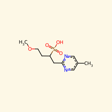 COCCC(Cc1ncc(C)cn1)S(=O)(=O)O